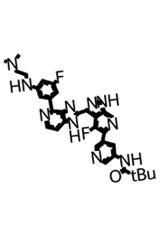 CN(C)CCNc1cc(F)cc(-c2nccc3[nH]c(-c4n[nH]c5cnc(-c6cncc(NC(=O)C(C)(C)C)c6)c(F)c45)nc23)c1